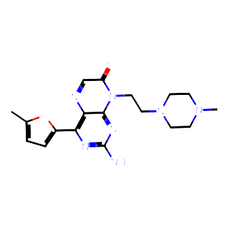 Cc1ccc(-c2nc(N)nc3c2ncc(=O)n3CCN2CCN(C)CC2)o1